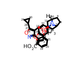 O=C(O)c1cc2cc(N3C4CC[C@H]3CC(OCc3c(-c5ccccc5OC(F)(F)F)noc3C3CC3)C4)ccc2o1